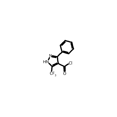 O=C(Cl)c1c(-c2ccccc2)n[nH]c1C(F)(F)F